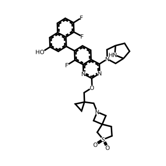 O=S1(=O)CCC2(CN(CC3(COc4nc(N5CC6CCC(C5)N6)c5ccc(-c6cc(O)cc7ccc(F)c(F)c67)c(F)c5n4)CC3)C2)C1